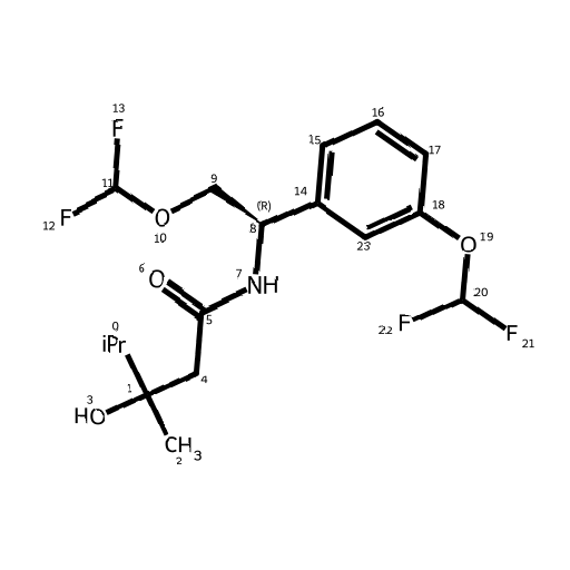 CC(C)C(C)(O)CC(=O)N[C@@H](COC(F)F)c1cccc(OC(F)F)c1